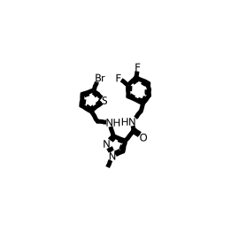 Cn1cc(C(=O)NCc2ccc(F)c(F)c2)c(NCc2ccc(Br)s2)n1